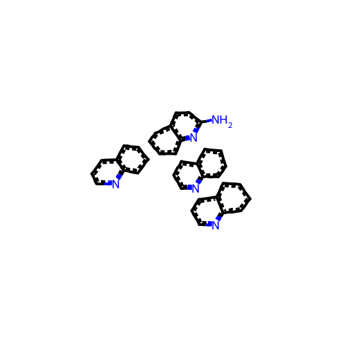 Nc1ccc2ccccc2n1.c1ccc2ncccc2c1.c1ccc2ncccc2c1.c1ccc2ncccc2c1